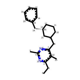 CCc1nc(C)nc(CC2CCC[C@@H](Cc3ccccc3)C2)c1C